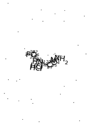 Cl.Cl.Nc1ccc2ccc(CCNCCc3cccc(F)c3)cc2n1